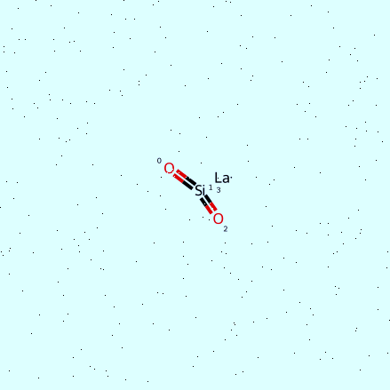 O=[Si]=O.[La]